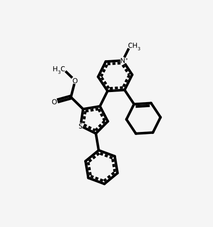 COC(=O)c1sc(-c2ccccc2)cc1-c1cc[n+](C)cc1C1=CCCCC1